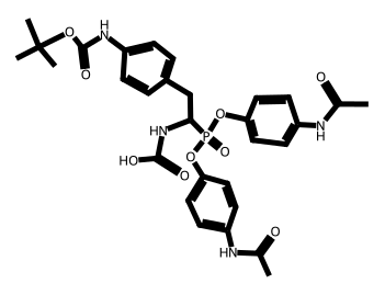 CC(=O)Nc1ccc(OP(=O)(Oc2ccc(NC(C)=O)cc2)C(Cc2ccc(NC(=O)OC(C)(C)C)cc2)NC(=O)O)cc1